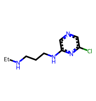 CCNCCCNc1cncc(Cl)n1